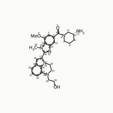 COc1cc(C(=O)N2CCC[C@@H](N)C2)cc2nc(-c3cc4cccc5c4n3CCN5CCO)n(C)c12